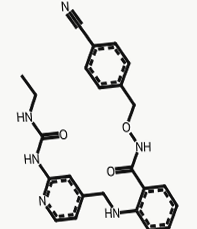 CCNC(=O)Nc1cc(CNc2ccccc2C(=O)NOCc2ccc(C#N)cc2)ccn1